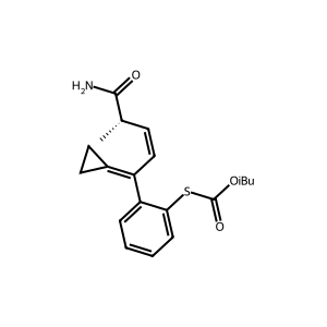 CC(C)COC(=O)Sc1ccccc1C(/C=C\[C@H](C)C(N)=O)=C1CC1